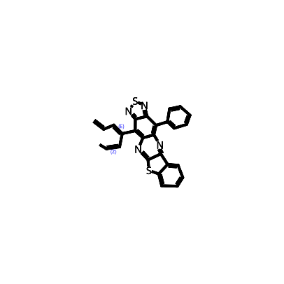 C=C/C=C(\C=C/C)c1c2nsnc2c(-c2ccccc2)c2nc3c(nc12)sc1ccccc13